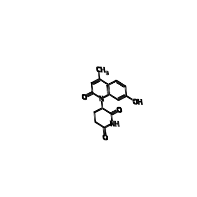 Cc1cc(=O)n(C2CCC(=O)NC2=O)c2cc(O)ccc12